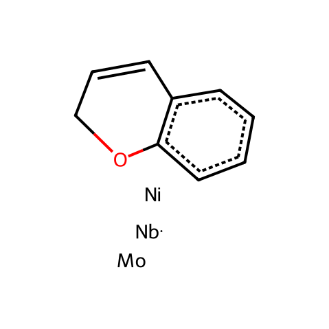 C1=Cc2ccccc2OC1.[Mo].[Nb].[Ni]